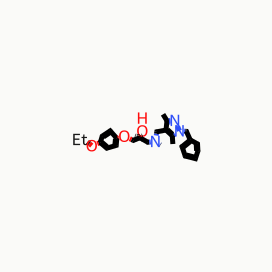 CCOc1ccc(OC[C@H](O)CN(C)Cc2c(C)nn(Cc3ccccc3)c2C)cc1